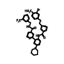 O=C(NCc1cccc(C(F)(F)F)c1)c1ccnc(-c2cc(N3CCCCC3)ccc2NC(=O)c2cccc(CSc3ccc(C(=O)O)c(Br)c3)c2)c1